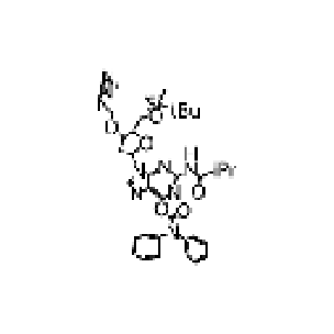 CC(C)C(=O)Nc1nc(OC(=O)N(c2ccccc2)c2ccccc2)c2ncn(C3CC(OCN=[N+]=[N-])C(CO[Si](C)(C)C(C)(C)C)O3)c2n1